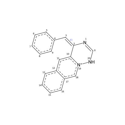 C1=N/C(=C/c2ccccc2)c2cc3ccccc3c[n+]2N1